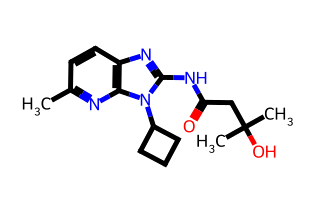 Cc1ccc2nc(NC(=O)CC(C)(C)O)n(C3CCC3)c2n1